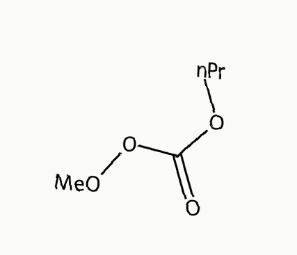 CCCOC(=O)OOC